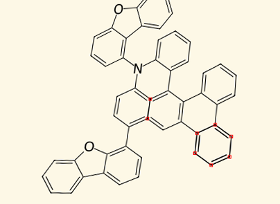 c1ccc(-c2ccccc2-c2c(-c3ccccc3)cccc2-c2ccccc2N(c2ccc(-c3cccc4c3oc3ccccc34)cc2)c2cccc3oc4ccccc4c23)cc1